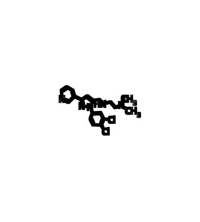 CN(C)CCNCc1cc(-c2cccnc2)nn1-c1ccc(Cl)c(Cl)c1